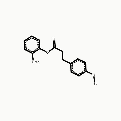 CCOc1ccc(CCC(=O)Oc2ccccc2OC)cc1